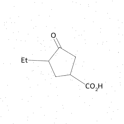 CCC1CC(C(=O)O)CC1=O